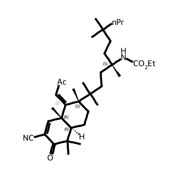 CCCC(C)(C)CC[C@@](C)(CCC(C)(C)[C@]1(C)CC[C@H]2C(C)(C)C(=O)C(C#N)=C[C@]2(C)/C1=C/C(C)=O)NC(=O)OCC